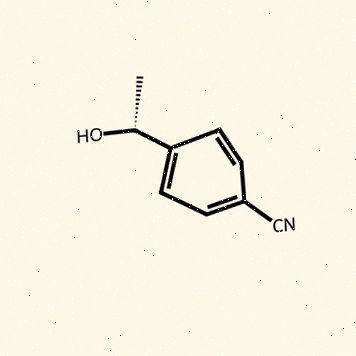 C[C@@H](O)c1ccc(C#N)cc1